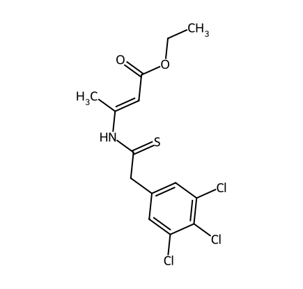 CCOC(=O)C=C(C)NC(=S)Cc1cc(Cl)c(Cl)c(Cl)c1